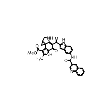 COC(=O)c1c(C(F)(F)F)[nH]c2c1C13CC1CNC3=C(C(=O)c1cc3cc(NC(=O)c4cnc5ccccc5c4)ccc3[nH]1)C2=O